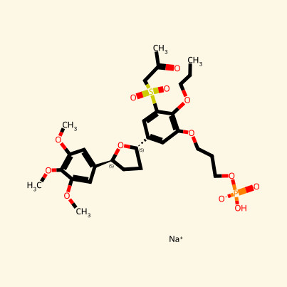 CCCOc1c(OCCCOP(=O)([O-])O)cc([C@@H]2CC[C@@H](c3cc(OC)c(OC)c(OC)c3)O2)cc1S(=O)(=O)CC(C)=O.[Na+]